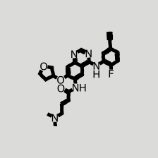 C#Cc1ccc(F)c(Nc2ncnc3cc(OC4CCOC4)c(NC(=O)C=CCN(C)C)cc23)c1